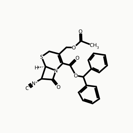 [C-]#[N+]C1C(=O)N2C(C(=O)OC(c3ccccc3)c3ccccc3)=C(COC(C)=O)CS[C@H]12